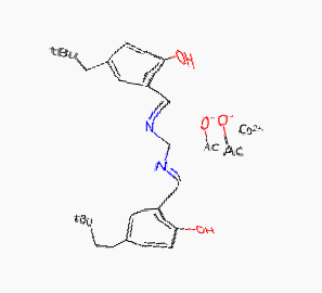 CC(=O)[O-].CC(=O)[O-].CC(C)(C)Cc1ccc(O)c(C=NCN=Cc2cc(CC(C)(C)C)ccc2O)c1.[Co+2]